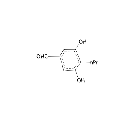 CCCc1c(O)cc(C=O)cc1O